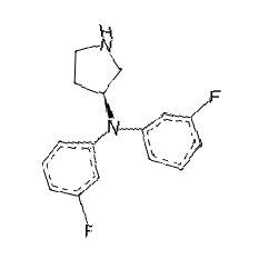 Fc1cccc(N(c2cccc(F)c2)[C@H]2CCNC2)c1